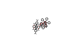 Cc1ccccc1C1(c2ccccc2[SiH]2C(c3ccccc3)=C(c3ccccc3)C(c3ccccc3)=C2c2ccccc2)c2ccccc2N(c2ccc3c(c2)B(c2c(C(C)C)cc(C(C)C)cc2C(C)C)c2ccccc2B3c2c(C(C)C)cc(C(C)C)cc2C(C)C)c2ccccc21